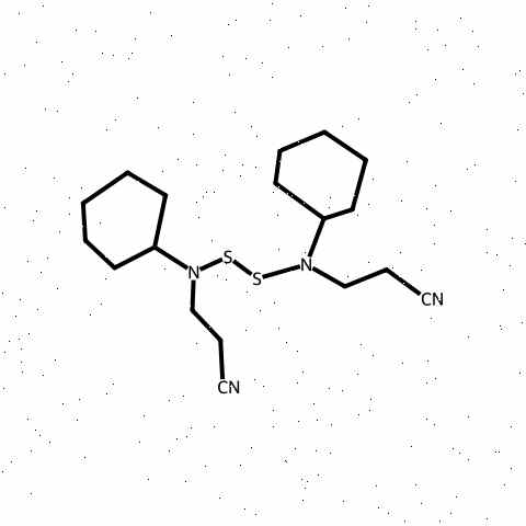 N#CCCN(SSN(CCC#N)C1CCCCC1)C1CCCCC1